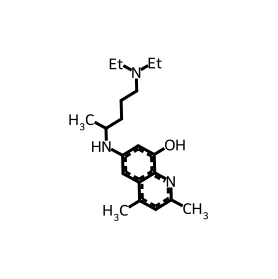 CCN(CC)CCCC(C)Nc1cc(O)c2nc(C)cc(C)c2c1